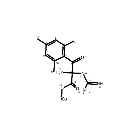 Cc1cc(C)c(C(=O)C(P)(NC(=N)N)C(=O)OC(C)(C)C)c(C)c1